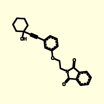 O=C1c2ccccc2C(=O)N1CCOc1cccc(C#CC2(O)CCCCC2)c1